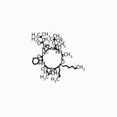 C=CCCCC[C@H]1OC[C@@H](C)NC(=O)[C@H]([C@H](C)OC(C)(C)C)NC(=O)[C@H](CNC(=O)OC(C)(C)C)NC(=O)[C@H](C2CCCCC2)NC(=O)[C@H](CC(C)C)N(C)C(=O)[C@@H]1CCC=C